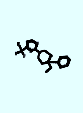 CCC1(c2ccccc2)CCN(c2nccc(C(F)(F)F)n2)CC1